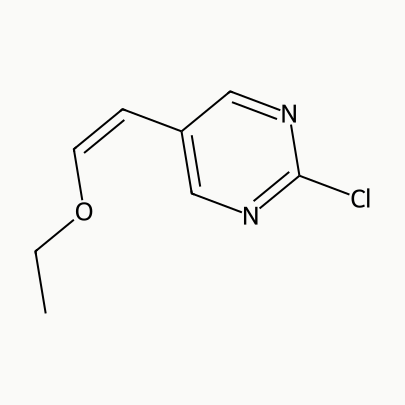 CCO/C=C\c1cnc(Cl)nc1